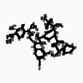 CCNC(=O)[C@@H](NC(=O)[C@H](C)NC[C@H](Cc1cc(F)cc(F)c1)NC(=O)c1cc(C(=O)N[C@H](C)c2ccccc2)cc(N(C)S(C)(=O)=O)c1)C(C)C